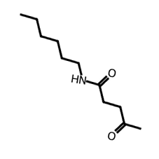 CCCCCCNC(=O)CCC(C)=O